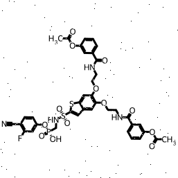 CC(=O)Oc1cccc(C(=O)NCCOc2cc3cc(S(=O)(=O)NCP(=O)(O)Oc4ccc(C#N)c(F)c4)sc3cc2OCCNC(=O)c2cccc(OC(C)=O)c2)c1